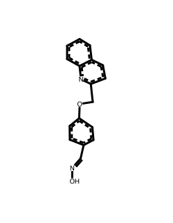 ON=Cc1ccc(OCc2ccc3ccccc3n2)cc1